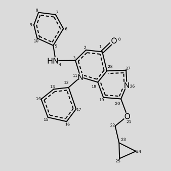 O=c1cc(Nc2ccccc2)n(-c2ccccc2)c2cc(OCC3CC3)ncc12